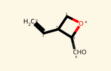 C=CC1COC1C=O